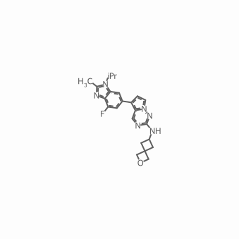 Cc1nc2c(F)cc(-c3ccn4nc(NC5CC6(COC6)C5)ncc34)cc2n1C(C)C